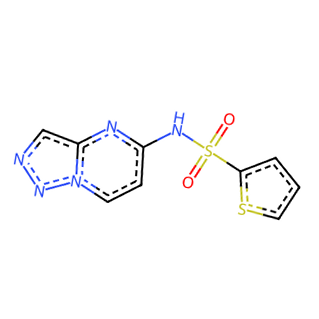 O=S(=O)(Nc1ccn2nncc2n1)c1cccs1